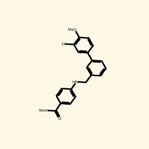 COC(=O)c1ccc(NCc2cccc(-c3ccc(OC)c(Cl)c3)c2)cc1